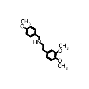 COc1ccc(CNCCc2ccc(OC)c(OC)c2)cc1